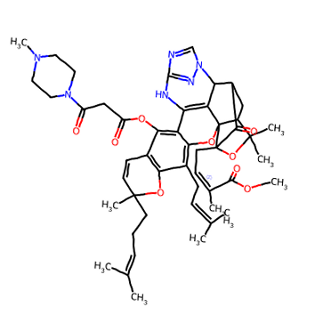 COC(=O)/C(C)=C\CC12OC(C)(C)C3CC(C1=O)C1C4=C(Nc5ncn1n5)c1c(OC(=O)CC(=O)N5CCN(C)CC5)c5c(c(CC=C(C)C)c1OC432)OC(C)(CCC=C(C)C)C=C5